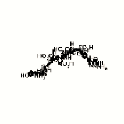 C[C@@H](C[C@@H](N)Cc1ccc(O)cc1)C(=O)NNC(=O)OCCSSC(C)(C)C(NC(=O)CNC(=O)[C@@H](CCC(=O)O)NC(=O)CNC(=O)[C@@H](CC(=O)O)NC(=O)CC[C@@H](NC(=O)c1ccc(NCc2cnc3nc(N)[nH]c(=O)c3n2)cc1)C(=O)O)C(=O)O